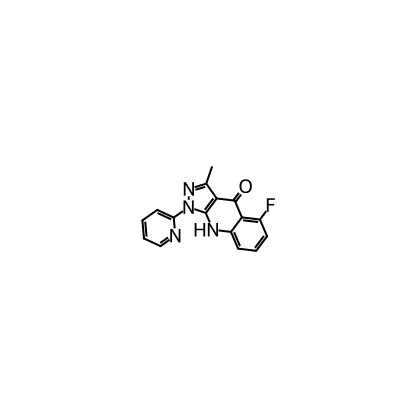 Cc1nn(-c2ccccn2)c2[nH]c3cccc(F)c3c(=O)c12